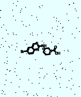 O=C(O)N1CCC[C@H](Nc2ncc3cc(Br)ccc3n2)C1